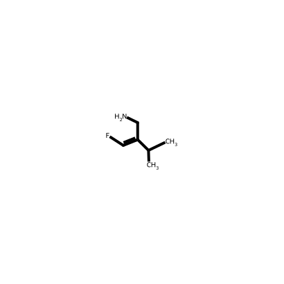 CC(C)C(=CF)CN